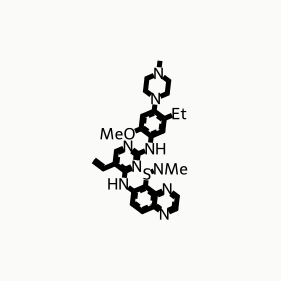 C=Cc1cnc(Nc2cc(CC)c(N3CCN(C)CC3)cc2OC)nc1Nc1ccc2nccnc2c1SNC